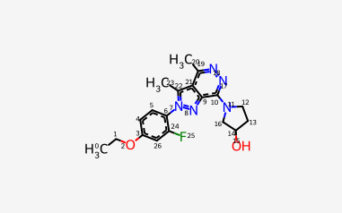 CCOc1ccc(-n2nc3c(N4CCC(O)C4)nnc(C)c3c2C)c(F)c1